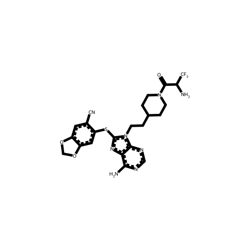 N#Cc1cc2c(cc1Sc1nc3c(N)ncnc3n1CCC1CCN(C(=O)C(N)C(F)(F)F)CC1)OCO2